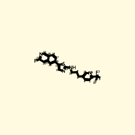 CC(F)(F)c1ccc(CCCNc2ncc(-c3ccc4cnc(F)cc4c3)s2)cn1